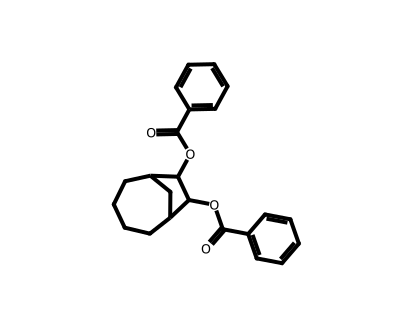 O=C(OC1C2CCCCC(C2)C1OC(=O)c1ccccc1)c1ccccc1